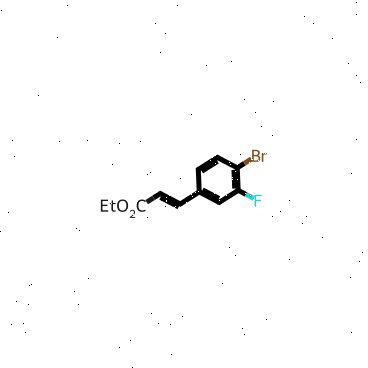 CCOC(=O)C=Cc1ccc(Br)c(F)c1